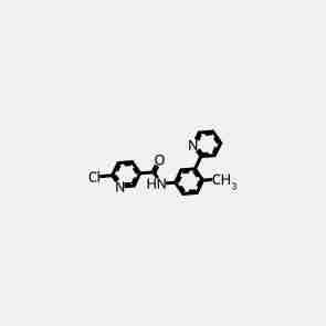 Cc1ccc(NC(=O)c2ccc(Cl)nc2)cc1-c1ccccn1